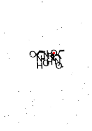 CC[C@]12CN(OC)[C@H]([C@H](n3ccc(=O)[nH]c3=O)O1)[C@H]2C